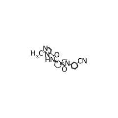 Cc1nccc(C(=O)N[C@H]2CCC[C@]3(CCN(c4cccc(C#N)c4)C3=O)C2)n1